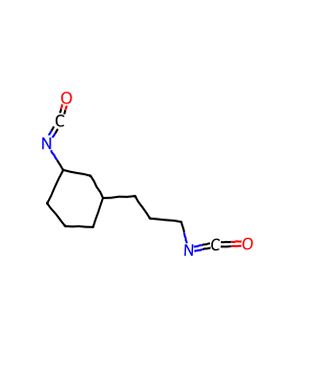 O=C=NCCCC1CCCC(N=C=O)C1